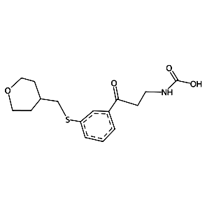 O=C(O)NCCC(=O)c1cccc(SCC2CCOCC2)c1